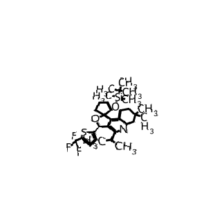 CC(C)c1nc2c(c3c1[C@@H](c1ccc(C(F)(F)F)s1)OC31CCCC1)C(O[Si](C)(C)C(C)(C)C)CC(C)(C)C2